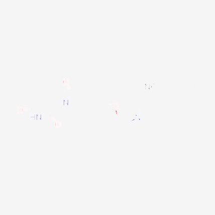 N#Cc1cc(Cl)ccc1C1CN([C@H]2CCC[C@H]2Oc2ccc3c(c2)CN(C2CCC(=O)NC2=O)C3=O)C1